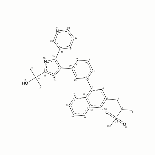 CC(Cc1cc(-c2cccc(-c3sc(C(C)(C)O)nc3-c3cccnc3)c2)c2ncccc2c1)S(C)(=O)=O